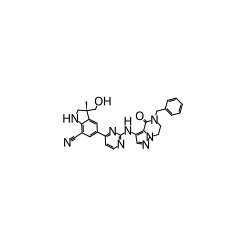 C[C@]1(CO)CNc2c(C#N)cc(-c3ccnc(Nc4cnn5c4C(=O)N(Cc4ccccc4)CC5)n3)cc21